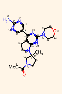 COC(=O)N1CC[C@@](C)(N2CCc3c(-c4cnc(N)nc4)nc(N4CCOCC4)nc32)C1